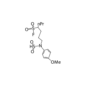 CCCC(CCCN(c1ccc(OC)cc1)[SH](=O)=O)S(=O)(=O)F